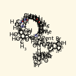 CC(C)C[C@H]1C(=O)N2CCC[C@H]2[C@]2(O)O[C@](NC(=O)[C@@H]3C=C4c5cccc6[nH]c(Br)c(c56)C[C@H]4N(C)C3)(C(C)C)C(=O)N12.CCCC(C)C1(CC)C(=O)NC(=O)NC1=O.CO[C@H]1/C=C/O[C@@]2(C)Oc3c(C)c(O)c4c(O)c(c(/C=N/N5CCN(C)CC5)c(O)c4c3C2=O)NC(=O)/C(C)=C\C=C\[C@H](C)[C@H](O)[C@@H](C)[C@@H](O)[C@@H](C)[C@H](OC(C)=O)[C@@H]1C